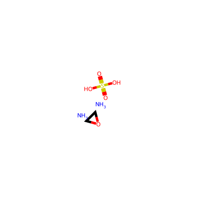 C1CO1.N.N.O=S(=O)(O)O